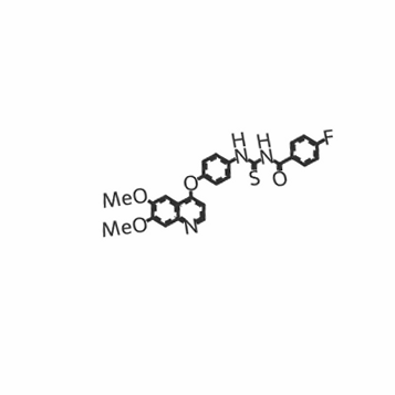 COc1cc2nccc(Oc3ccc(NC(=S)NC(=O)c4ccc(F)cc4)cc3)c2cc1OC